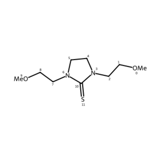 COCCN1CCN(CCOC)C1=S